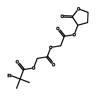 CCC(C)(C)C(=O)OCC(=O)OCC(=O)OC1CCOC1=O